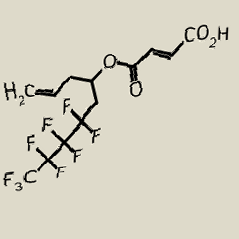 C=CCC(CC(F)(F)C(F)(F)C(F)(F)C(F)(F)F)OC(=O)/C=C/C(=O)O